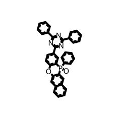 O=P1(c2ccccc2)c2cc(-c3nc(-c4ccccc4)nc(-c4ccccc4)n3)ccc2Oc2cc3ccccc3cc21